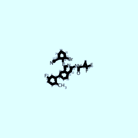 Cc1ccc(F)cc1-c1ccc2cc(NC(=O)C3CC3(F)F)ncc2c1.N#Cc1cccc(Br)c1I